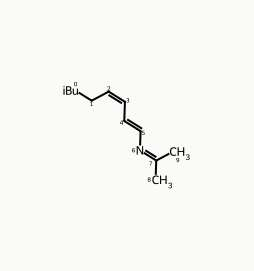 CCC(C)C/C=C\C=C\N=C(C)C